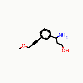 COCC#Cc1cccc(C(N)CCO)c1